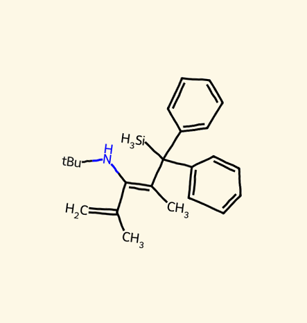 C=C(C)C(NC(C)(C)C)=C(C)C([SiH3])(c1ccccc1)c1ccccc1